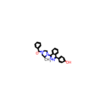 CC1CN(C(=O)c2ccccc2)CCN1c1nnc(-c2ccc(O)cc2)c2ccccc12